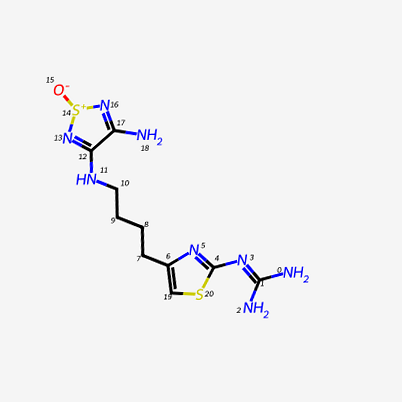 NC(N)=Nc1nc(CCCCNc2n[s+]([O-])nc2N)cs1